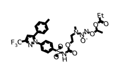 CCC(=O)OC(C)ON=[N+]([O-])N(C)CCOC(=O)NS(=O)(=O)c1ccc(-n2nc(C(F)(F)F)cc2-c2ccc(C)cc2)cc1